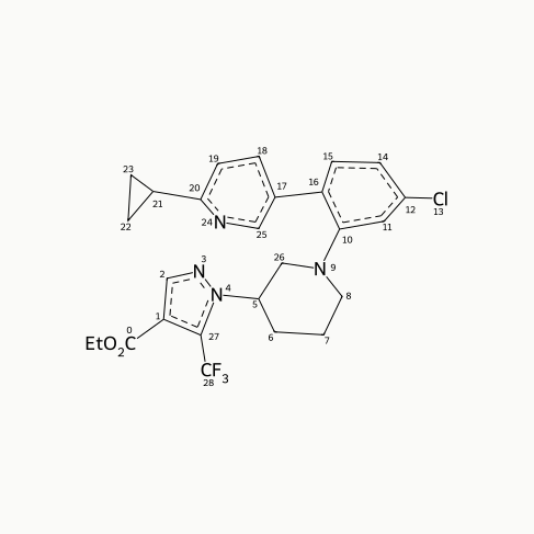 CCOC(=O)c1cnn(C2CCCN(c3cc(Cl)ccc3-c3ccc(C4CC4)nc3)C2)c1C(F)(F)F